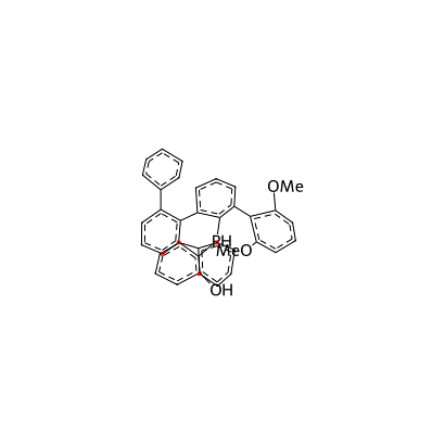 COc1cccc(OC)c1-c1cccc(-c2c(-c3ccccc3)cccc2-c2ccccc2)c1Pc1ccccc1O